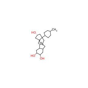 C=C1C[C@H](O)CC1(CC1CC2CC(O)C(O)CC2C1)C1CCC(C)CC1